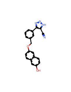 N#Cc1[nH]nnc1-c1cccc(COc2ccc3cc(O)ccc3c2)c1